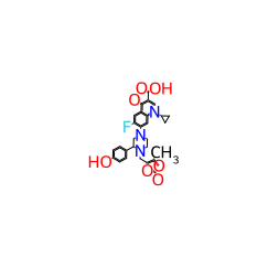 Cc1oc(=O)oc1CN1CCN(c2cc3c(cc2F)c(=O)c(C(=O)O)cn3C2CC2)CC1c1ccc(O)cc1